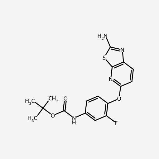 CC(C)(C)OC(=O)Nc1ccc(Oc2ccc3nc(N)sc3n2)c(F)c1